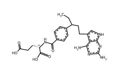 CCC(CCc1c[nH]c2nc(N)nc(N)c12)c1ccc(C(=O)N[C@@H](CCC(=O)O)C(=O)O)cc1